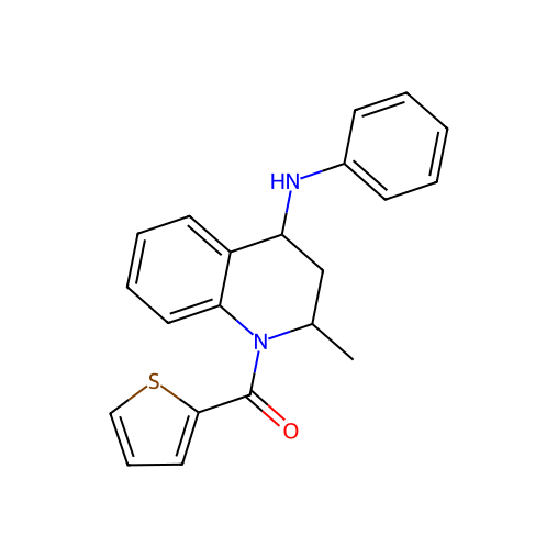 CC1CC(Nc2ccccc2)c2ccccc2N1C(=O)c1cccs1